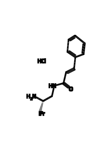 CC(C)[C@H](N)CNC(=O)C=Cc1ccccc1.Cl